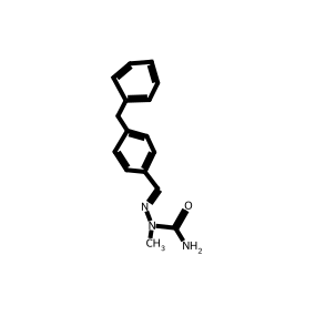 CN(N=Cc1ccc(Cc2ccccc2)cc1)C(N)=O